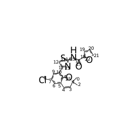 CC1(C)C=Cc2cc(Cl)cc(-c3csc(NC(=O)c4ccco4)n3)c2O1